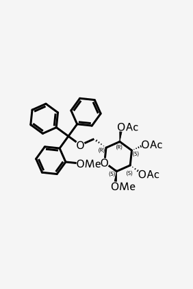 COc1ccccc1C(OC[C@H]1O[C@H](OC)[C@@H](OC(C)=O)[C@@H](OC(C)=O)[C@@H]1OC(C)=O)(c1ccccc1)c1ccccc1